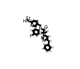 CCNc1ccc(CN(C(=O)C(C)(C)n2cc(Cc3ccccc3)nn2)c2ccc(F)cc2)cn1